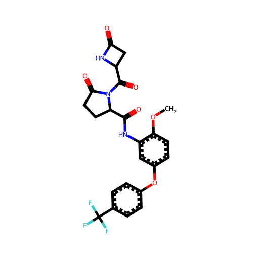 COc1ccc(Oc2ccc(C(F)(F)F)cc2)cc1NC(=O)C1CCC(=O)N1C(=O)C1CC(=O)N1